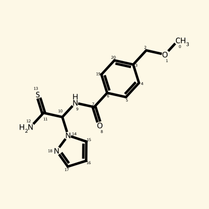 COCc1ccc(C(=O)NC(C(N)=S)n2cccn2)cc1